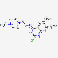 COc1cc2nc(Cl)nc(NCCN3CCN(C)CC3)c2cc1OC